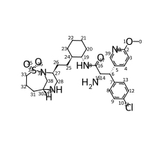 COc1ccc([C@H](c2ccc(Cl)cc2)[C@H](N)C(=O)N[C@H]2CCCC[C@@H]2CC[C@H]2CN[C@@H]3CCCS(=O)(=O)N2C3)cn1